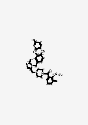 CCCCOc1c(C)cccc1C(=O)N1CCN(Cc2cnc(C)n2Cc2ccc(C#N)c(Oc3cccc(C)n3)c2)CC1